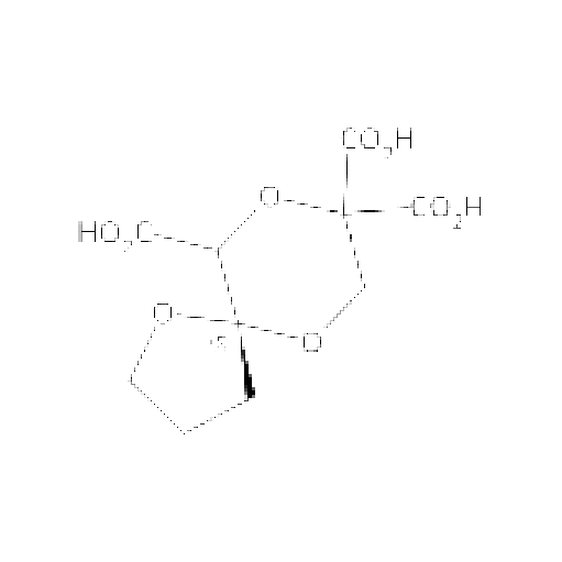 O=C(O)C1OC(C(=O)O)(C(=O)O)CO[C@@]12CCCO2